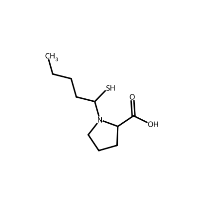 CCCCC(S)N1CCCC1C(=O)O